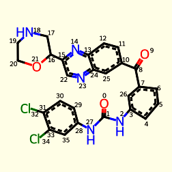 O=C(Nc1cccc(C(=O)c2ccc3nc(C4CNCCO4)cnc3c2)c1)Nc1ccc(Cl)c(Cl)c1